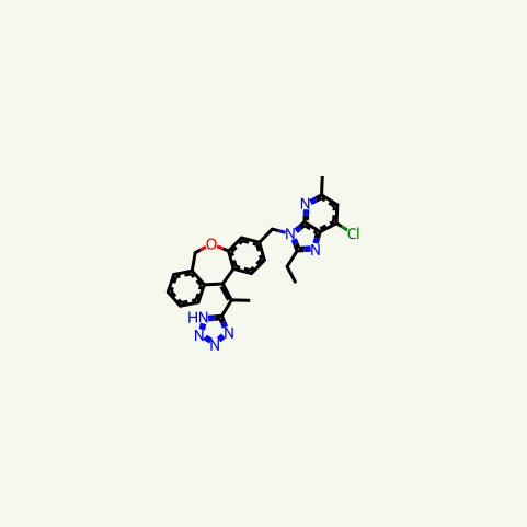 CCc1nc2c(Cl)cc(C)nc2n1Cc1ccc2c(c1)OCc1ccccc1/C2=C(/C)c1nnn[nH]1